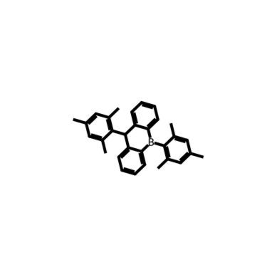 Cc1cc(C)c(B2c3ccccc3C(c3c(C)cc(C)cc3C)c3ccccc32)c(C)c1